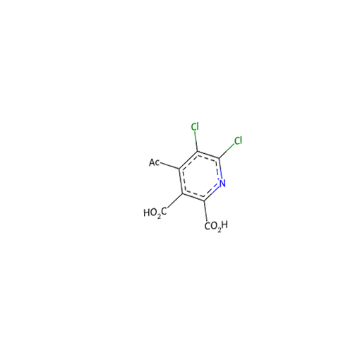 CC(=O)c1c(Cl)c(Cl)nc(C(=O)O)c1C(=O)O